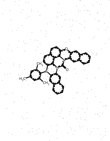 Cc1cc(C)c(B2c3cc4ccccc4cc3-n3c(=O)n4c5cc6ccccc6cc5oc5ccc6ccc2c3c6c5-4)c(C)c1